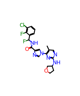 Cc1cnc(NC2CCOC2)nc1-n1cnc(C(=O)NC(F)c2cccc(Cl)c2F)c1